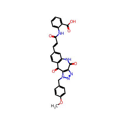 COc1ccc(Cn2nnc3c(=O)[nH]c4cc(C=CC(=O)Nc5ccccc5C(=O)O)ccc4c(=O)c32)cc1